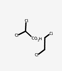 ClCCCl.O=C(O)C(Cl)Cl